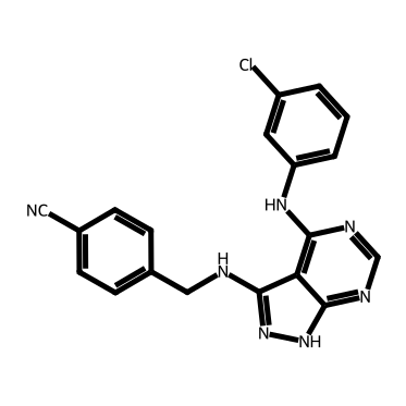 N#Cc1ccc(CNc2n[nH]c3ncnc(Nc4cccc(Cl)c4)c23)cc1